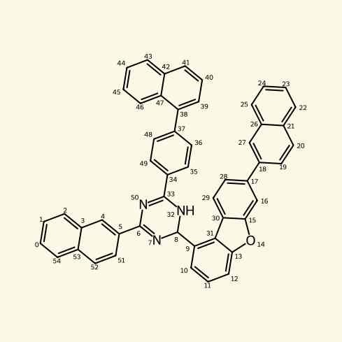 c1ccc2cc(C3=NC(c4cccc5oc6cc(-c7ccc8ccccc8c7)ccc6c45)NC(c4ccc(-c5cccc6ccccc56)cc4)=N3)ccc2c1